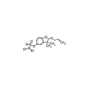 C=CCOC1Oc2ccc(OS(=O)(=O)N(CC)CC)cc2C1(C)C